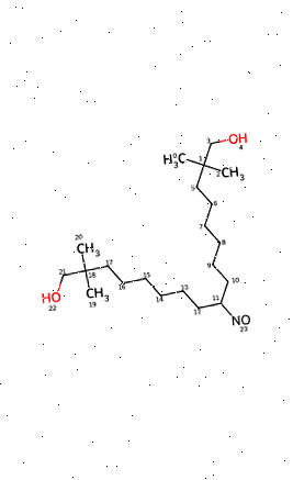 CC(C)(CO)CCCCCCC(CCCCCCC(C)(C)CO)N=O